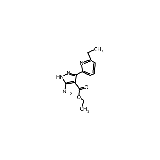 CCOC(=O)c1c(-c2cccc(CC)n2)n[nH]c1N